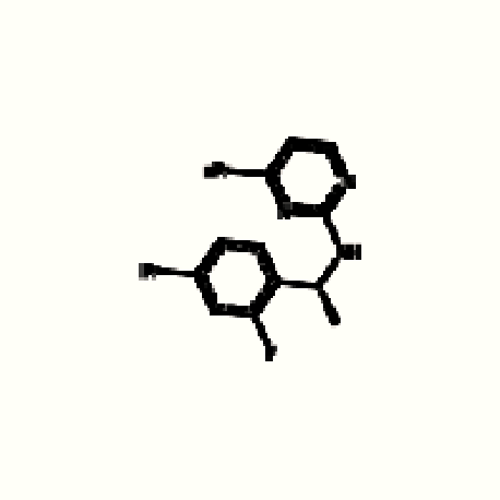 C[CH]Cc1ccnc(N[C@@H](C)c2ccc(C(C)C)cc2F)n1